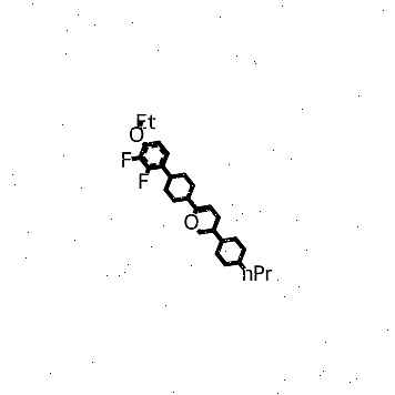 CCCC1CCC(C2CC=C(C3CCC(c4ccc(OCC)c(F)c4F)CC3)OC2)CC1